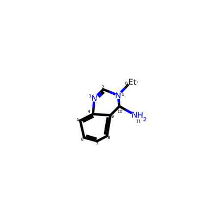 C[CH]N1C=Nc2ccccc2C1N